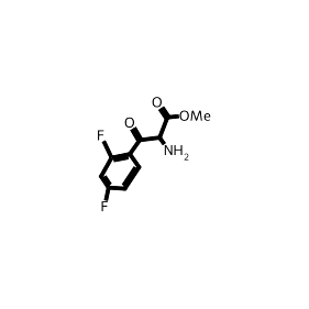 COC(=O)C(N)C(=O)c1ccc(F)cc1F